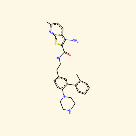 Cc1ccc2c(N)c(C(=O)NCCc3ccc(N4CCNCC4)c(-c4ccccc4C)c3)sc2n1